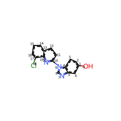 Oc1ccc2c(c1)ncn2-c1ccc2cccc(Cl)c2n1